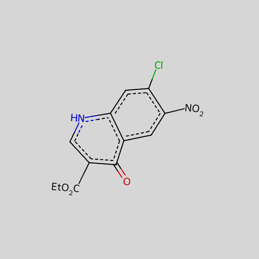 CCOC(=O)c1c[nH]c2cc(Cl)c([N+](=O)[O-])cc2c1=O